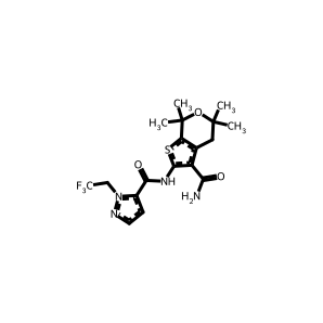 CC1(C)Cc2c(sc(NC(=O)c3ccnn3CC(F)(F)F)c2C(N)=O)C(C)(C)O1